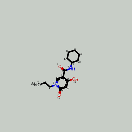 COCCn1cc(C(=O)NC2CCCCC2)c(O)cc1=O